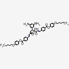 Nc1cc(N)cc(C(CC(=O)/C=C/c2ccc(C(=O)Oc3ccc(OCCCCC(F)(F)F)cc3)cc2)C(O)(O)C(=O)/C=C/c2ccc(C(=O)Oc3ccc(OCCCCC(F)(F)F)cc3)cc2)c1